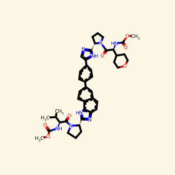 COC(=O)N[C@H](C(=O)N1CCC[C@H]1c1nc2ccc3cc(-c4ccc(-c5cnc([C@@H]6CCCN6C(=O)[C@@H](NC(=O)OC)C6CCOCC6)[nH]5)cc4)ccc3c2[nH]1)C(C)C